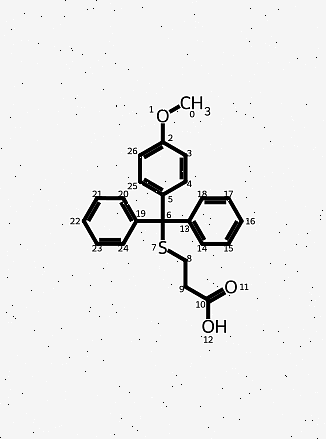 COc1ccc(C(SCCC(=O)O)(c2ccccc2)c2ccccc2)cc1